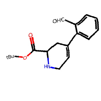 CC(C)(C)OC(=O)C1CC(c2ccccc2C=O)=CCN1